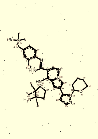 CCc1cc(O[Si](C)(C)C(C)(C)C)ccc1/N=C(\N)c1cnn2cc(-c3ccnn3C3CCCCO3)cc2c1N[C@@H]1CC[C@](C)(N)C1(C)C